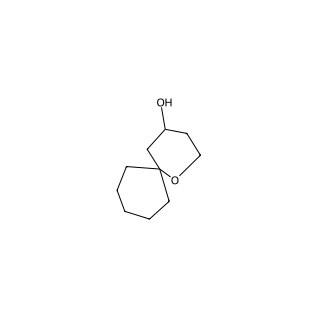 OC1CCOC2(CCCCC2)C1